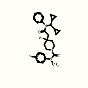 CC(=O)C1(CC(=O)N(c2ccccc2)C(C2CC2)C2CC2)CCN(C(=O)N(C)c2ccc(F)cc2)CC1